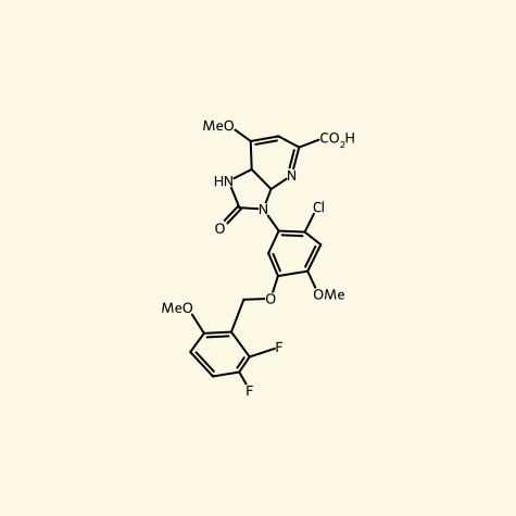 COC1=CC(C(=O)O)=NC2C1NC(=O)N2c1cc(OCc2c(OC)ccc(F)c2F)c(OC)cc1Cl